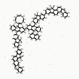 C=C1/C(=C\C(=C)c2c3ccccc3c(/C3=C/C=C\C/C=C\C=C/C3)c3cc(-c4ccc5c(-c6ccc7c(c6)-c6ccc(-c8ccc9c(c8)-c8ccc%10c(ccc%11sc%12ccccc%12c%11%10)c8C9(C)C)cc6C7(C)C)c6ccccc6c(-c6cccc7ccccc67)c5c4)ccc23)C(C)(C)c2cc(-c3ccc4c(c3)-c3ccc5cc6sc7ccccc7c6cc5c3C4(C)C)ccc21